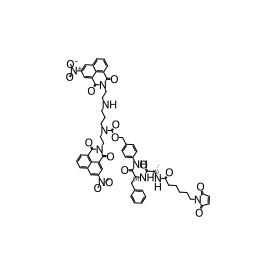 C[C@H](NC(=O)CCCCCN1C(=O)C=CC1=O)C(=O)N[C@@H](Cc1ccccc1)C(=O)Nc1ccc(COC(=O)N(CCCNCCN2C(=O)c3cccc4cc([N+](=O)[O-])cc(c34)C2=O)CCN2C(=O)c3cccc4cc([N+](=O)[O-])cc(c34)C2=O)cc1